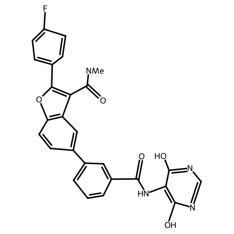 CNC(=O)c1c(-c2ccc(F)cc2)oc2ccc(-c3cccc(C(=O)Nc4c(O)ncnc4O)c3)cc12